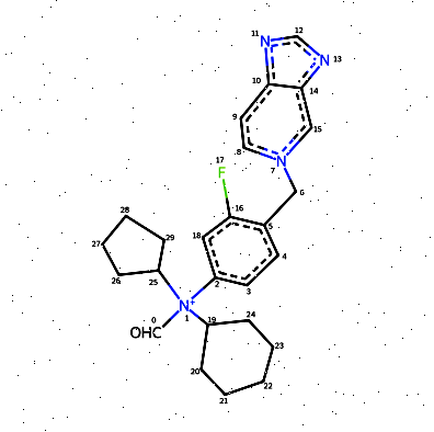 O=C[N+](c1ccc(Cn2ccc3ncnc-3c2)c(F)c1)(C1CCCCC1)C1CCCC1